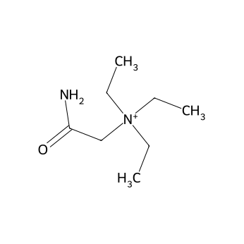 CC[N+](CC)(CC)CC(N)=O